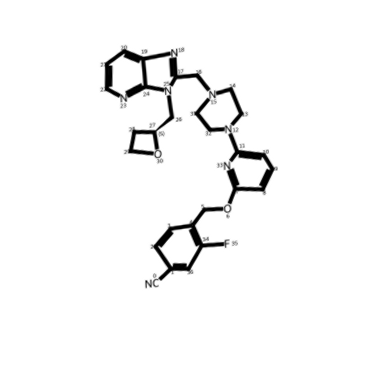 N#Cc1ccc(COc2cccc(N3CCN(Cc4nc5cccnc5n4C[C@@H]4CCO4)CC3)n2)c(F)c1